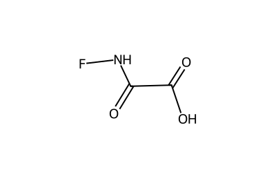 O=C(O)C(=O)NF